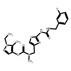 CCn1ncc(OC(=O)N(C)Cc2csc(NC(=O)NCc3cccc(F)c3)n2)c1C